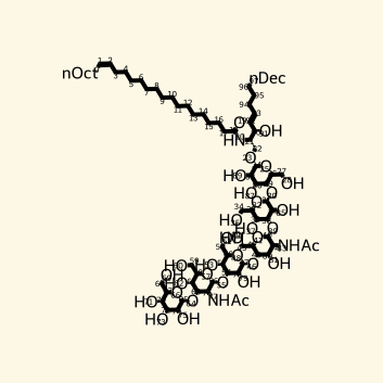 CCCCCCCC/C=C\CCCCCCCCCCCCCCCC(=O)N[C@@H](CO[C@@H]1OC(CO)[C@@H](O[C@@H]2OC(CO)[C@H](O)[C@H](O[C@@H]3OC(CO)[C@@H](O[C@@H]4OC(CO)[C@H](O)[C@H](O[C@@H]5OC(CO)[C@@H](O)[C@H](O[C@@H]6OC(CO)[C@H](O)[C@H](O)C6O)C5NC(C)=O)C4O)[C@H](O)C3NC(C)=O)C2O)[C@H](O)C1O)[C@H](O)/C=C/CCCCCCCCCCCCC